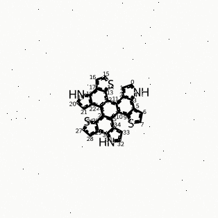 c1cc2c([nH]1)c1ccsc1c1c2c2c3sccc3c3[nH]ccc3c2c2c3sccc3c3[nH]ccc3c12